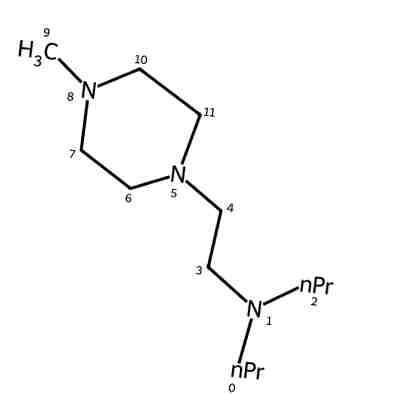 CCCN(CCC)CCN1CCN(C)CC1